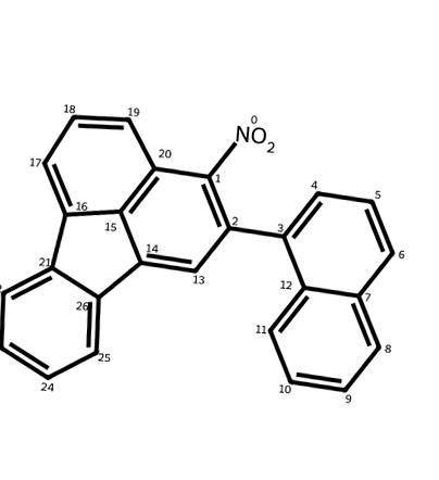 O=[N+]([O-])c1c(-c2cccc3ccccc23)cc2c3c(cccc13)-c1ccccc1-2